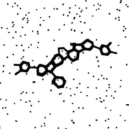 Cc1ccc(-c2ccc3[nH]c4c5c(ccc4c3c2)-c2cc3c(cc2CC5)c2cc(-c4ccc(C)c(C)c4)ccc2n3-c2ccccc2)cc1C